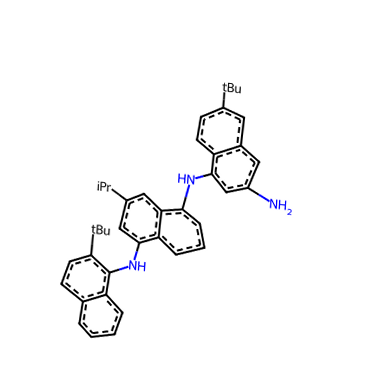 CC(C)c1cc(Nc2c(C(C)(C)C)ccc3ccccc23)c2cccc(Nc3cc(N)cc4cc(C(C)(C)C)ccc34)c2c1